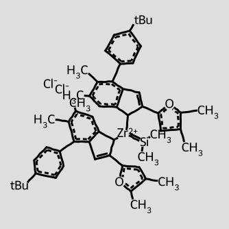 Cc1cc(C2=Cc3c(cc(C)c(C)c3-c3ccc(C(C)(C)C)cc3)[CH]2[Zr+2]([CH]2C(c3cc(C)c(C)o3)=Cc3c2cc(C)c(C)c3-c2ccc(C(C)(C)C)cc2)=[Si](C)C)oc1C.[Cl-].[Cl-]